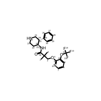 CC(C)(COc1ncccc1OC(F)(F)F)C(=O)N[C@H]1CCNC[C@@H]1c1ccccc1